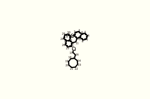 Oc1ccc2ccccc2c1Cc1c(OCCC2CCCCCCC2)ccc2ccccc12